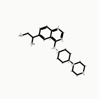 OCC(O)c1ccc2ncnc(O[C@H]3CC[C@H](N4CCOCC4)CC3)c2c1